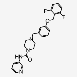 O=C(Nc1cccnc1)N1CCN(Cc2cccc(OCc3c(F)cccc3F)c2)CC1